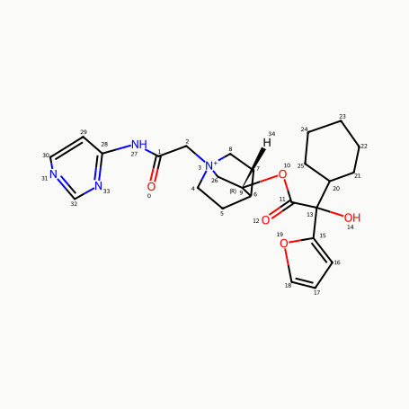 O=C(C[N+]12CCC(CC1)[C@@H](OC(=O)C(O)(c1ccco1)C1CCCCC1)C2)Nc1ccncn1